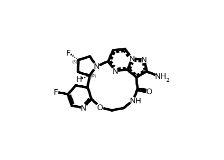 Nc1nn2ccc3nc2c1C(=O)NCCOC1=NC=C(F)CC1[C@H]1C[C@H](F)CN31